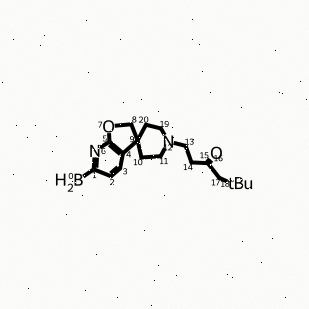 Bc1ccc2c(n1)OCC21CCN(CCC(=O)CC(C)(C)C)CC1